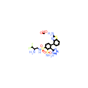 Nc1nc2c(-c3ccc(S(=O)(=O)NCC(N)C(F)F)c(S(N)(=O)=O)c3-c3nnn[nH]3)cccc2s1.O=CO